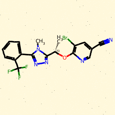 C[C@H](Oc1ncc(C#N)cc1Br)c1nnc(-c2ccccc2C(F)(F)F)n1C